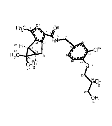 Cc1sc(C(=O)NCc2ccc(OC[C@H](O)CO)c(Cl)c2)c2c1[C@H]1[C@@H](C2)C1(C)C